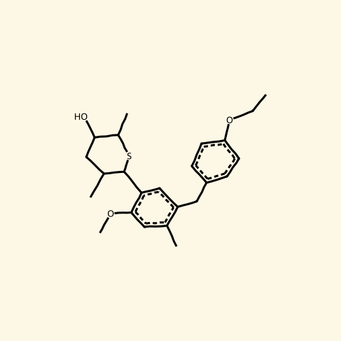 CCOc1ccc(Cc2cc(C3SC(C)C(O)CC3C)c(OC)cc2C)cc1